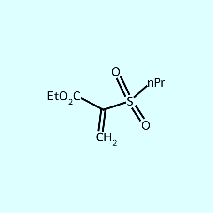 C=C(C(=O)OCC)S(=O)(=O)CCC